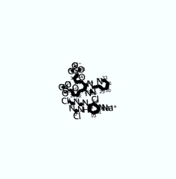 Clc1nc(Cl)nc(Nc2ccccc2Cl)n1.O=S(=O)([O-])c1ccc(-c2nnc(-c3ccccn3)nc2-c2ccc(S(=O)(=O)[O-])o2)o1.[Na+].[Na+]